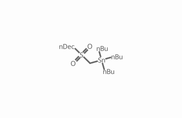 CCCCCCCCCCS(=O)(=O)[CH2][Sn]([CH2]CCC)([CH2]CCC)[CH2]CCC